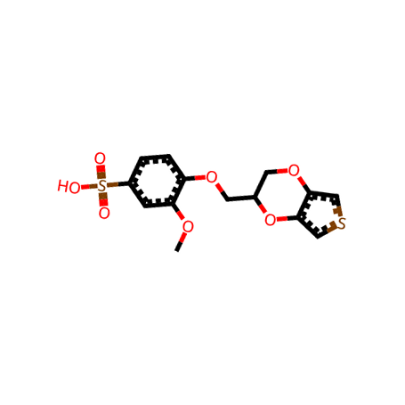 COc1cc(S(=O)(=O)O)ccc1OCC1COc2cscc2O1